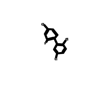 Fc1cc(Cl)ccc1-c1cc(Cl)c[c]c1Cl